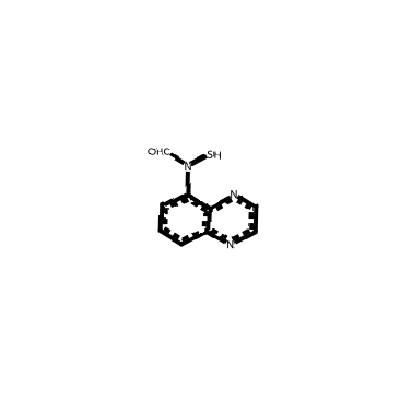 O=CN(S)c1cccc2nccnc12